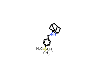 CS(C)(C)c1ccc(CNC23CC4CC(CC(C4)C2)C3)cc1